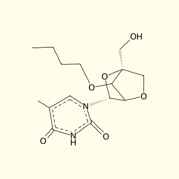 CCCCOC1C2OC[C@]1(CO)O[C@H]2n1cc(C)c(=O)[nH]c1=O